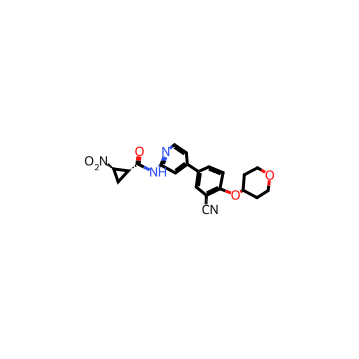 N#Cc1cc(-c2ccnc(NC(=O)[C@@H]3C[C@H]3[N+](=O)[O-])c2)ccc1OC1CCOCC1